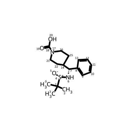 CC(C)(C)[S@@+]([O-])N[C@@H](c1ccccc1)C1CCN(C(=O)O)CC1